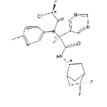 Cc1ccc(N(C(=O)[C@H](F)Cl)[C@](C)(C(=O)N[C@@H]2CC3CC2CC3(F)F)c2cncnc2)cn1